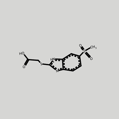 CS(=O)(=O)c1ccc2nc(SCC(=O)O)[nH]c2c1